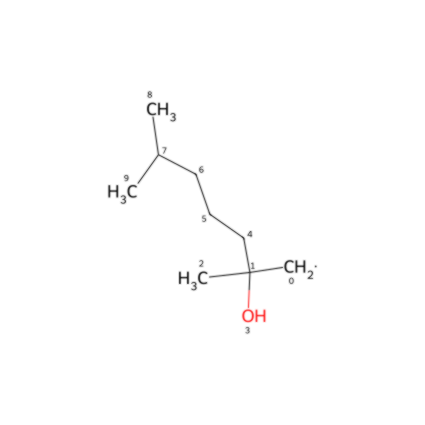 [CH2]C(C)(O)CCCC(C)C